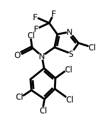 O=C(Cl)N(c1cc(Cl)c(Cl)c(Cl)c1Cl)c1sc(Cl)nc1C(F)(F)F